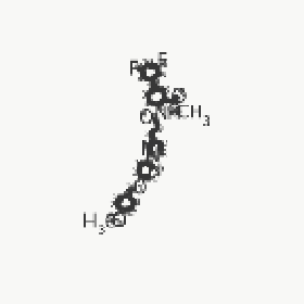 COC(=O)C1=C(NC(=O)CCc2ccn(-c3ccc(OCc4ccc(OC)cc4)cn3)n2)CCC(c2cc(F)cc(F)c2)C1